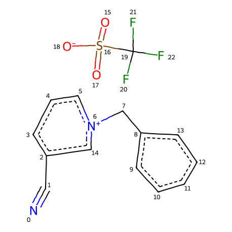 N#Cc1ccc[n+](Cc2ccccc2)c1.O=S(=O)([O-])C(F)(F)F